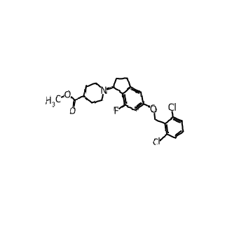 COC(=O)C1CCN(C2CCc3cc(OCc4c(Cl)cccc4Cl)cc(F)c32)CC1